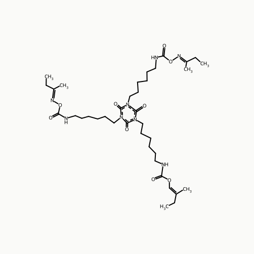 CC/C(C)=C/OC(=O)NCCCCCCn1c(=O)n(CCCCCCNC(=O)O/N=C(\C)CC)c(=O)n(CCCCCCNC(=O)O/N=C(\C)CC)c1=O